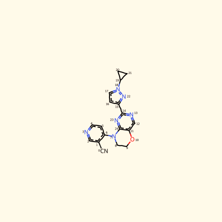 N#Cc1cnccc1N1CCOc2cnc(-c3ccn(C4CC4)n3)nc21